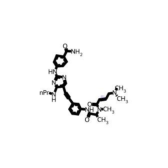 CCCNc1nc(Nc2ccc(C(N)=O)cc2)ncc1C#Cc1cccc(NC(=O)C(C)N(C)C(=O)/C=C/CN(C)C)c1